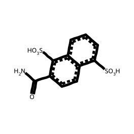 NC(=O)c1ccc2c(S(=O)(=O)O)cccc2c1S(=O)(=O)O